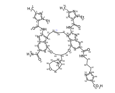 CCn1nc(C)cc1C(=O)Nc1nc2cc(C(N)=O)cc3c2n1C/C=C/Cn1c(NC(=O)c2cc(C)nn2CC)nc2cc(C(=O)NCCCn4cc(C(=O)O)cn4)cc(c21)OCC(C=[N+]1C2CCC1COC2)CO3